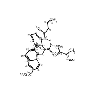 CN[C@@H](C)C(=O)N[C@H]1CN(C(=O)CCN)c2ccccc2N(Cc2c(OC)ccc3cc(C(=O)O)ccc23)C1=O